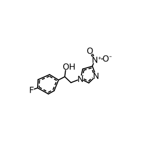 O=[N+]([O-])c1cn(CC(O)c2ccc(F)cc2)cn1